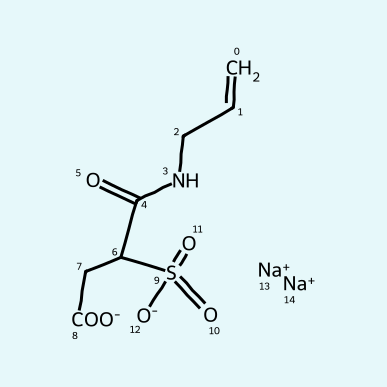 C=CCNC(=O)C(CC(=O)[O-])S(=O)(=O)[O-].[Na+].[Na+]